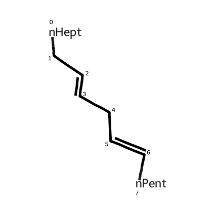 [CH2]CCCCCCC/C=C/CC=CCCCCC